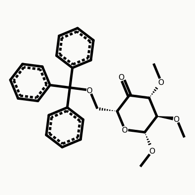 CO[C@@H]1O[C@H](COC(c2ccccc2)(c2ccccc2)c2ccccc2)C(=O)[C@H](OC)[C@H]1OC